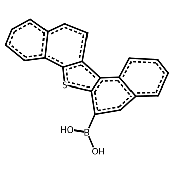 OB(O)c1cc2ccccc2c2c1sc1c3ccccc3ccc12